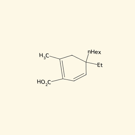 CCCCCCC1(CC)C=CC(C(=O)O)=C(C)C1